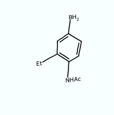 Bc1ccc(NC(C)=O)c(CC)c1